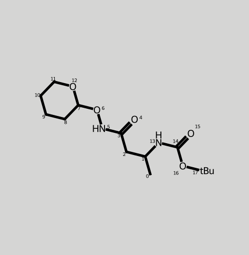 CC(CC(=O)NOC1CCCCO1)NC(=O)OC(C)(C)C